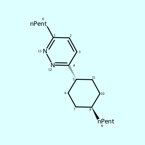 CCCCCc1ccc([C@H]2CC[C@H](CCCCC)CC2)nn1